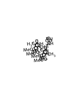 COC(=O)C1(C(=O)OC)Cc2c(C)[nH]c(=O)c(C)c2C1.COC(=O)C1(C(=O)OC)Cc2c(C)nc(OCCNC(=O)OC(C)(C)C)c(C)c2C1